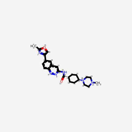 Cc1nc(-c2ccc3nnc(NC(=O)[C@H]4CC[C@H](N5CCN(C)CC5)CC4)cc3c2)co1